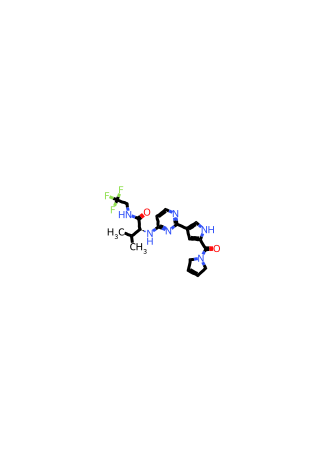 CC(C)[C@@H](Nc1ccnc(-c2c[nH]c(C(=O)N3CC=CC3)c2)n1)C(=O)NCC(F)(F)F